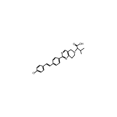 CC(C)C(C(=O)O)N1CCc2nc(-c3ccc(C=Cc4ccc(Cl)cc4)cc3)ncc2C1